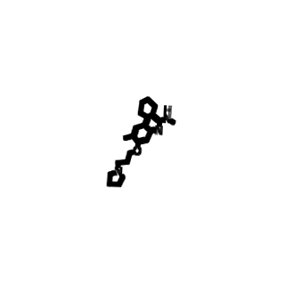 CNc1nc2cc(OCCCN3CCCC3)c(C)cc2c2c1CCCC2